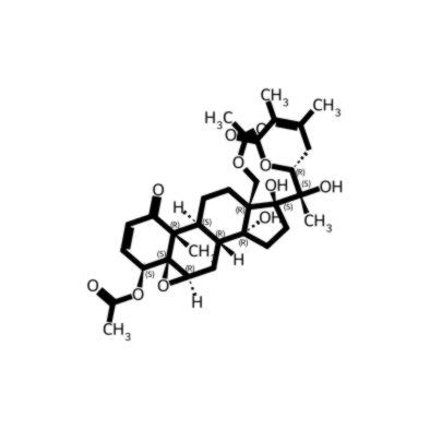 CC(=O)OC[C@]12CC[C@H]3[C@@H](C[C@H]4O[C@]45[C@@H](OC(C)=O)C=CC(=O)[C@]35C)[C@]1(O)CC[C@@]2(O)[C@@](C)(O)[C@H]1CC(C)=C(C)C(=O)O1